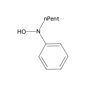 CCCCCN(O)c1ccccc1